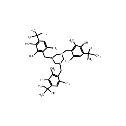 Cc1cc(C(C)(C)C)c(O)c(C)c1CN1CN(Cc2c(C)cc(C(C)(C)C)c(O)c2C)CN(Cc2c(C)cc(C(C)(C)C)c(O)c2C)C1